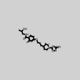 CC(O)CNC(=O)c1ccc(OCCCC2CCN(c3nc(C(C)C)no3)CC2)cc1F